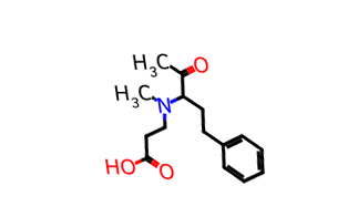 CC(=O)C(CCc1ccccc1)N(C)CCC(=O)O